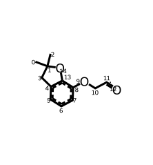 CC1(C)Cc2cccc(OC[C]=O)c2O1